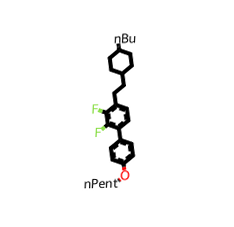 CCCCCOc1ccc(-c2ccc(CCC3CCC(CCCC)CC3)c(F)c2F)cc1